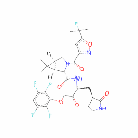 CC(C)(F)c1cc(C(=O)N2C[C@H]3[C@@H]([C@H]2C(=O)N[C@@H](C[C@@H]2CCNC2=O)C(=O)COc2c(F)c(F)cc(F)c2F)C3(C)C)no1